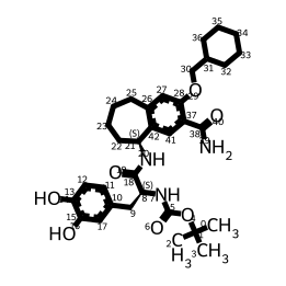 CC(C)(C)OC(=O)N[C@@H](Cc1ccc(O)c(O)c1)C(=O)N[C@H]1CCCCc2cc(OCC3CCCCC3)c(C(N)=O)cc21